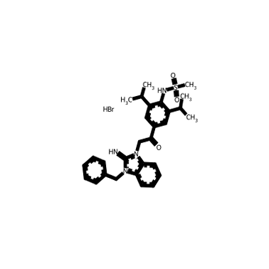 Br.CC(C)c1cc(C(=O)Cn2c(=N)n(Cc3ccccc3)c3ccccc32)cc(C(C)C)c1NS(C)(=O)=O